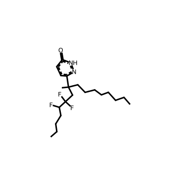 CCCCCCCCC(C)(CC(F)(F)C(F)CCCC)c1ccc(=O)[nH]n1